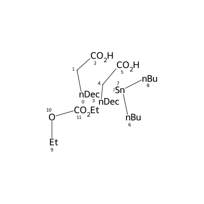 CCCCCCCCCCCC(=O)O.CCCCCCCCCCCC(=O)O.CCC[CH2][Sn][CH2]CCC.CCOC(=O)OCC